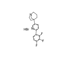 Br.Fc1ccc(-c2ccc(C34CCCN(CC3)C4)cn2)c(F)c1F